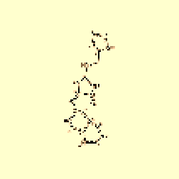 O=C1N=C(NCc2cccs2)SC1=Cc1ccc2ncncc2c1